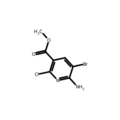 COC(=O)c1cc(Br)c(N)nc1Cl